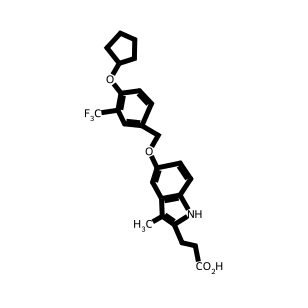 Cc1c(CCC(=O)O)[nH]c2ccc(OCc3ccc(OC4CCCC4)c(C(F)(F)F)c3)cc12